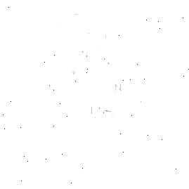 N[C@H](Cc1ccc(Cl)cc1)C(=O)N1CCN2C(=O)N(CC(F)(F)F)C(=O)[C@]2(Cc2cccnc2)C1